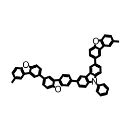 Cc1ccc2oc3ccc(-c4ccc5oc6cc(-c7ccc8c(c7)c7cc(-c9ccc%10oc%11ccc(C)cc%11c%10c9)ccc7n8-c7ccccc7)ccc6c5c4)cc3c2c1